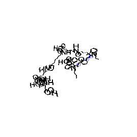 C=C(O)[C@H](CCC(=O)O)NC(=O)N[C@@H](CCCCNC(=O)CCCCCCC(=O)NC(CCCCNC(=O)CCCC1(C)/C(=C\C=C2/CCCC(/C=C/C3=[N+](CCCC)c4ccccc4C3(C)C)=C2Oc2ccc(S(=O)(=O)O)cc2)N(CCC)c2ccccc21)C(=O)O)C(=O)O